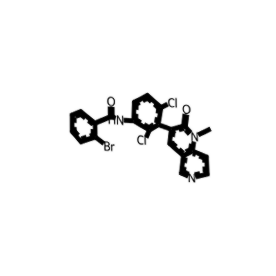 Cn1c(=O)c(-c2c(Cl)ccc(NC(=O)c3ccccc3Br)c2Cl)cc2cnccc21